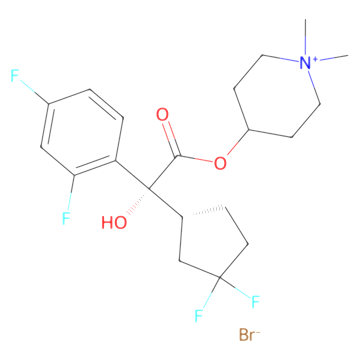 C[N+]1(C)CCC(OC(=O)[C@](O)(c2ccc(F)cc2F)[C@@H]2CCC(F)(F)C2)CC1.[Br-]